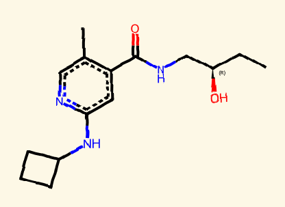 CC[C@@H](O)CNC(=O)c1cc(NC2CCC2)ncc1C